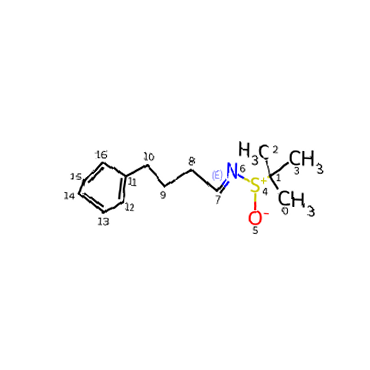 CC(C)(C)[S+]([O-])/N=C/CCCc1ccccc1